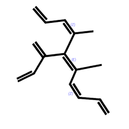 C=C\C=C/C(C)=C(C(=C)C=C)/C(C)=C\C=C